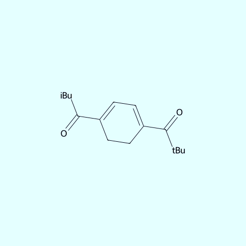 CCC(C)C(=O)C1=CC=C(C(=O)C(C)(C)C)CC1